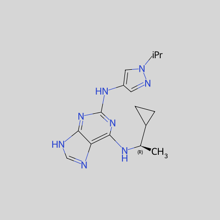 CC(C)n1cc(Nc2nc(N[C@H](C)C3CC3)c3nc[nH]c3n2)cn1